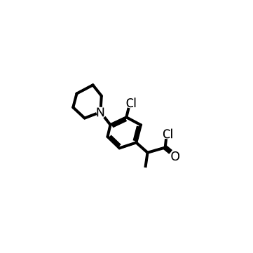 CC(C(=O)Cl)c1ccc(N2CCCCC2)c(Cl)c1